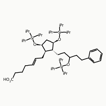 CC(C)[Si](OC(CCc1ccccc1)CC[C@@H]1[C@@H](CC=CCCCC(=O)O)[C@@H](O[Si](C(C)C)(C(C)C)C(C)C)C[C@H]1O[Si](C(C)C)(C(C)C)C(C)C)(C(C)C)C(C)C